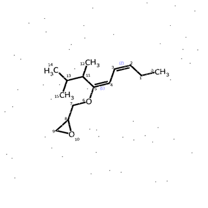 CC/C=C\C=C(\OCC1CO1)C(C)C(C)C